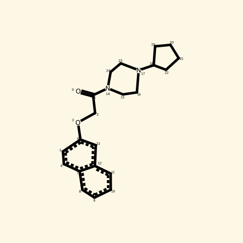 O=C(COc1ccc2ccccc2c1)N1CCN(C2CCCC2)CC1